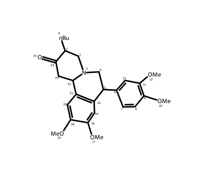 CCCCC1CN2CC(c3ccc(OC)c(OC)c3)c3cc(OC)c(OC)cc3C2CC1=O